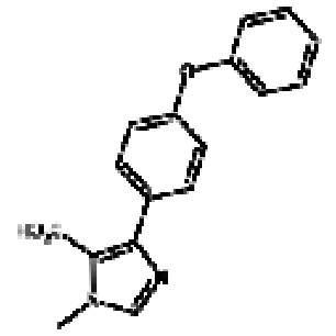 Cn1cnc(-c2ccc(Oc3ccccc3)cc2)c1C(=O)O